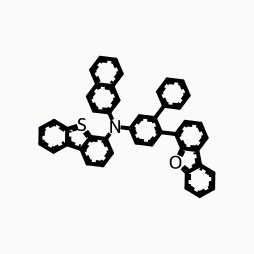 c1ccc(-c2cc(N(c3ccc4ccccc4c3)c3cccc4c3sc3ccccc34)ccc2-c2cccc3c2oc2ccccc23)cc1